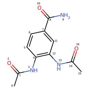 CC(=O)Nc1ccc(C(N)=O)cc1NC(C)=O